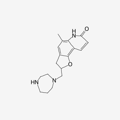 Cc1cc2c(c3ccc(=O)[nH]c13)OC(CN1CCCNCC1)C2